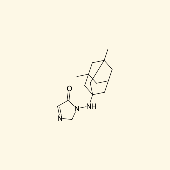 CC12CC3CC(C)(C1)CC(NN1CN=CC1=O)(C3)C2